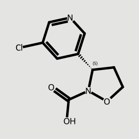 O=C(O)N1OCC[C@H]1c1cncc(Cl)c1